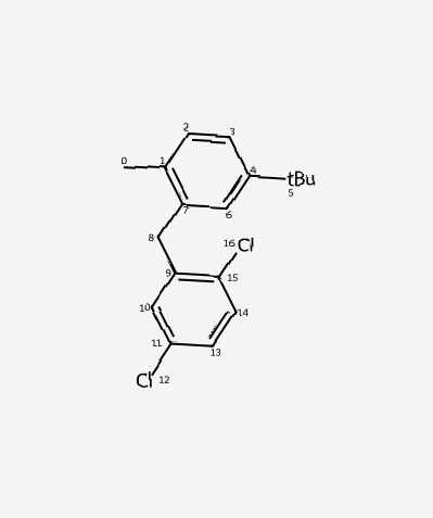 Cc1ccc(C(C)(C)C)cc1Cc1cc(Cl)ccc1Cl